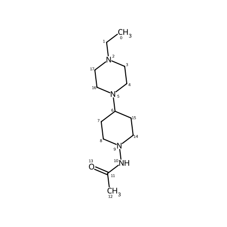 CCN1CCN(C2CCN(NC(C)=O)CC2)CC1